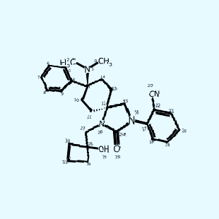 CN(C)[C@]1(c2ccccc2)CC[C@]2(CC1)CN(c1ccccc1C#N)C(=O)N2CC1(O)CCC1